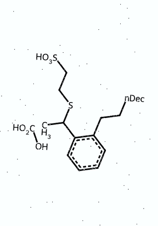 CCCCCCCCCCCCc1ccccc1C(C)SCCS(=O)(=O)O.O=C(O)O